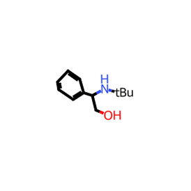 CC(C)(C)NC(CO)c1ccccc1